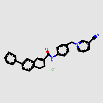 N#Cc1ccc[n+](Cc2ccc(NC(=O)C3=Cc4cc(-c5ccccc5)ccc4CC3)cc2)c1.[Cl-]